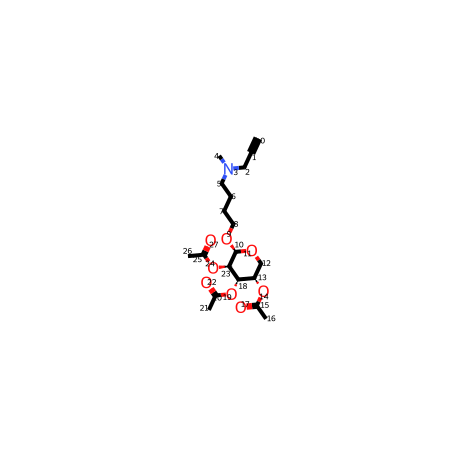 C#CCN(C)CCCCO[C@H]1OC[C@H](OC(C)=O)[C@H](OC(C)=O)[C@H]1OC(C)=O